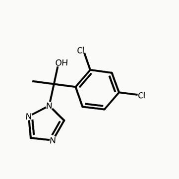 CC(O)(c1ccc(Cl)cc1Cl)n1cncn1